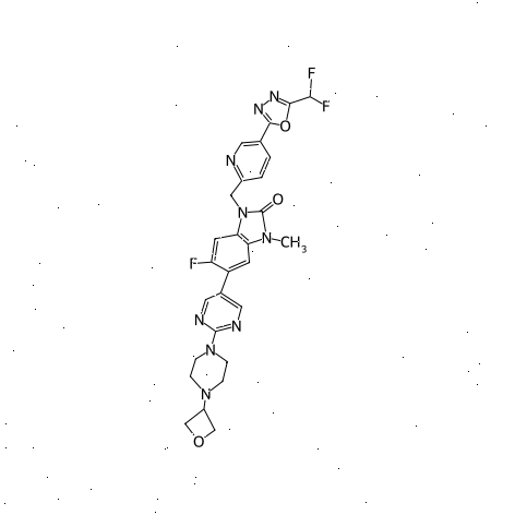 Cn1c(=O)n(Cc2ccc(-c3nnc(C(F)F)o3)cn2)c2cc(F)c(-c3cnc(N4CCN(C5COC5)CC4)nc3)cc21